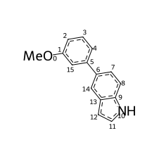 COc1cccc(-c2ccc3[nH]ccc3c2)c1